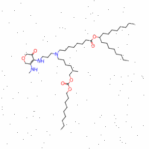 CCCCCCCCCOC(=O)OCC(C)CCCCN(CCCCCCCC(=O)OC(CCCCCCCC)CCCCCCCC)CCCNC1=C(NC)COCC1=O